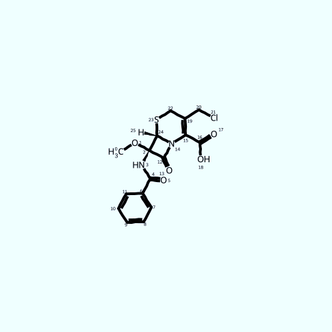 CO[C@@]1(NC(=O)c2ccccc2)C(=O)N2C(C(=O)O)=C(CCl)CS[C@H]21